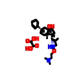 C/C(=C\[C@H]1CC[C@]2(O)C[C@@H](c3ccccc3)CC[C@]12C)CNOCCN(C)C.O=C(O)C(=O)O